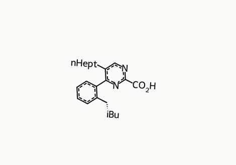 CCCCCCCc1cnc(C(=O)O)nc1-c1ccccc1C[C@@H](C)CC